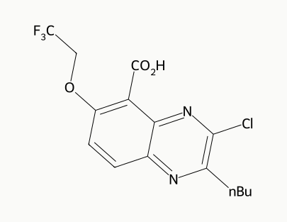 CCCCc1nc2ccc(OCC(F)(F)F)c(C(=O)O)c2nc1Cl